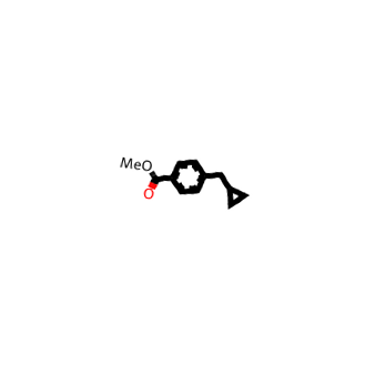 COC(=O)c1ccc(CC2CC2)cc1